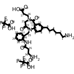 NCCCCCCc1ccc2c(c1)C(=O)N(CCC(=O)O)CC(=O)N2Cc1ccccc1NC(=O)CCN.O=C(O)C(F)(F)F.O=C(O)C(F)(F)F